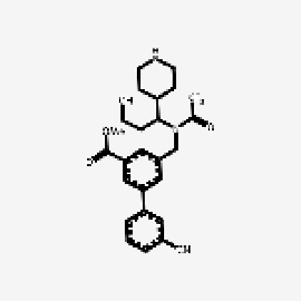 COC(=O)c1cc(CN(C(=O)C(F)(F)F)C(CCO)C2CCNCC2)cc(-c2cccc(C#N)c2)c1